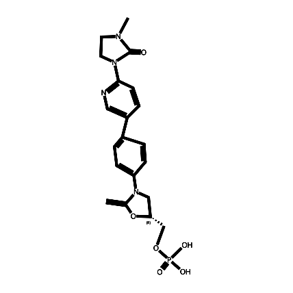 C=C1O[C@@H](COP(=O)(O)O)CN1c1ccc(-c2ccc(N3CCN(C)C3=O)nc2)cc1